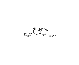 COc1cc(CC(N)C(=O)O)ncn1